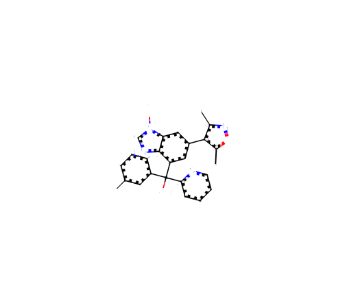 CCc1cccc(C(O)(c2ccccn2)c2cc(-c3c(C)noc3C)cc3c2[nH]c[n+]3[O-])c1